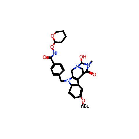 CCCCOc1ccc2c(c1)c1c(n2Cc2ccc(C(=O)NOC3CCCCO3)cc2)CN2CC1C(=O)N(C)C2O